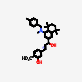 Cc1ccc(CN(C)c2cc(C(O)/C=C/c3ccc(C(=O)O)c(O)c3)cc3c2C(C)(C)CCC3(C)C)cc1